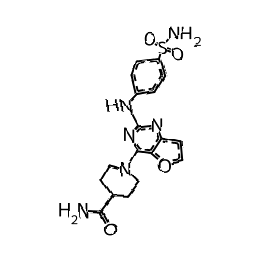 NC(=O)C1CCN(c2nc(Nc3ccc(S(N)(=O)=O)cc3)nc3ccoc23)CC1